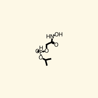 CC(C)O[PH](=O)OCC(=O)NO